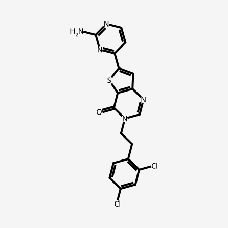 Nc1nccc(-c2cc3ncn(CCc4ccc(Cl)cc4Cl)c(=O)c3s2)n1